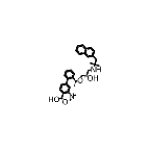 CC(OC[C@H](O)CNC(C)(C)Cc1ccc2ccccc2c1)c1ccccc1-c1ccc(C(=O)O)c(N(C)C)c1